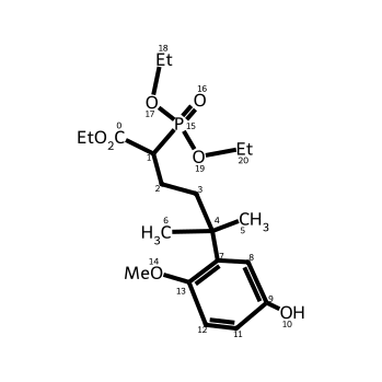 CCOC(=O)C(CCC(C)(C)c1cc(O)ccc1OC)P(=O)(OCC)OCC